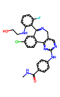 CNC(=O)c1ccc(Nc2ncc3c(n2)-c2ccc(Cl)cc2C(c2c(F)cccc2NCCO)=NC3)cc1